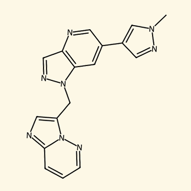 Cn1cc(-c2cnc3cnn(Cc4cnc5cccnn45)c3c2)cn1